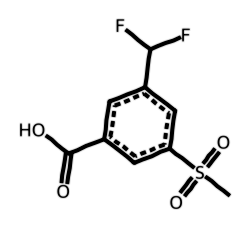 CS(=O)(=O)c1cc(C(=O)O)cc(C(F)F)c1